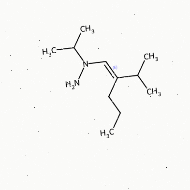 CCC/C(=C\N(N)C(C)C)C(C)C